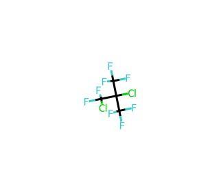 FC(F)(F)C(Cl)(C(F)(F)F)C(F)(F)Cl